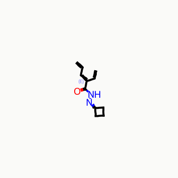 C=C/C=C(\C=C)C(=O)NN=C1CCC1